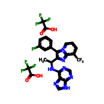 CC(Nc1ncnc2[nH]cnc12)c1nc2c(C(F)(F)F)cccn2c1-c1cccc(F)c1.O=C(O)C(F)(F)F.O=C(O)C(F)(F)F